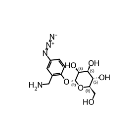 [N-]=[N+]=Nc1ccc(O[C@H]2O[C@H](CO)[C@@H](O)[C@H](O)[C@@H]2O)c(CN)c1